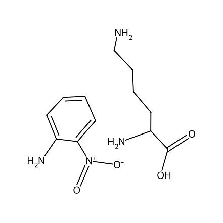 NCCCCC(N)C(=O)O.Nc1ccccc1[N+](=O)[O-]